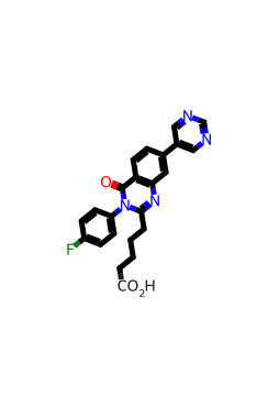 O=C(O)CCCCc1nc2cc(-c3cncnc3)ccc2c(=O)n1-c1ccc(F)cc1